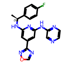 C[C@H](Nc1cc(-c2ncon2)cc(Nc2cnccn2)n1)c1ccc(F)cc1